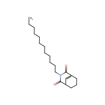 CCCCCCCCCCCCN1C(=O)C2=CC(CCC2)C1=O